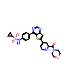 O=C(C1CC(c2cc3ncnc(-c4ccc(NS(=O)(=O)C5CC5)cc4)c3s2)=CCN1)N1CCOCC1